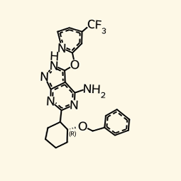 Nc1nc(C2CCCC[C@H]2OCc2ccccc2)nc2n[nH]c(Oc3cc(C(F)(F)F)ccn3)c12